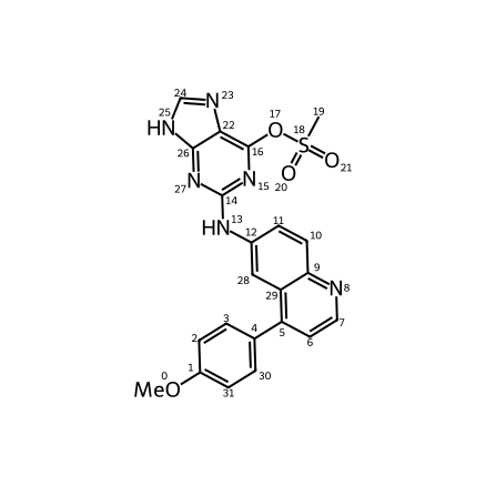 COc1ccc(-c2ccnc3ccc(Nc4nc(OS(C)(=O)=O)c5nc[nH]c5n4)cc23)cc1